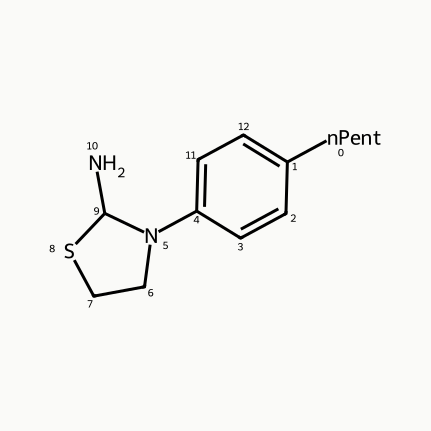 CCCCCc1ccc(N2CCSC2N)cc1